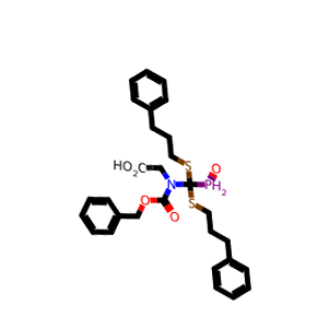 O=[PH2]C(SCCCc1ccccc1)(SCCCc1ccccc1)N(CC(=O)O)C(=O)OCc1ccccc1